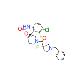 O=C1Nc2ccc(Cl)c(F)c2[C@@]2(CCCN(C(=O)C3(F)CCN(Cc4ccccc4)C3)C2)O1